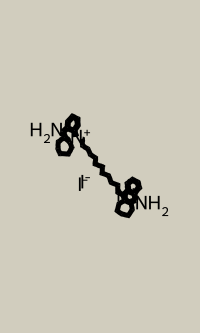 Nc1c2c([n+](CCCCCCCCCCCC[n+]3c4c(c(N)c5ccccc53)CCCCC4)c3ccccc13)CCCCC2.[I-].[I-]